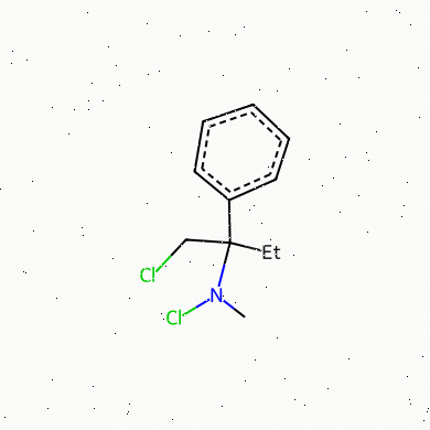 CCC(CCl)(c1ccccc1)N(C)Cl